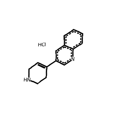 C1=C(c2cnc3ccccc3c2)CCNC1.Cl